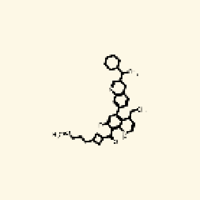 CCC1C=CNc2c(C(=O)C3CC(CCCOC)C3)c(F)cc(-c3ccc4c(c3)N=CC(C(C)C3CCCCC3)C4)c21